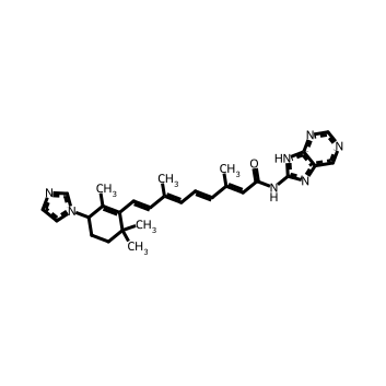 CC1=C(/C=C/C(C)=C/C=C/C(C)=C/C(=O)Nc2nc3cncnc3[nH]2)C(C)(C)CCC1n1ccnc1